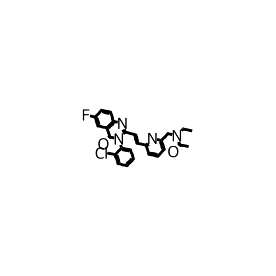 CCN(Cc1cccc(C=Cc2nc3ccc(F)cc3c(=O)n2-c2ccccc2Cl)n1)C(C)=O